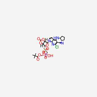 CC(C)(C)C(=O)OCOP(=O)(O)CS(=O)(=O)C[C@H]1O[C@@H](n2ccc3c(NC4CCCC4)c(C#N)c(Cl)nc32)[C@@H]2OC(=O)O[C@@H]21